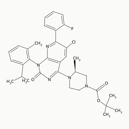 Cc1cccc(C(C)C)c1-n1c(=O)nc(N2CCN(C(=O)OC(C)(C)C)C[C@@H]2C)c2cc(Cl)c(-c3ccccc3F)nc21